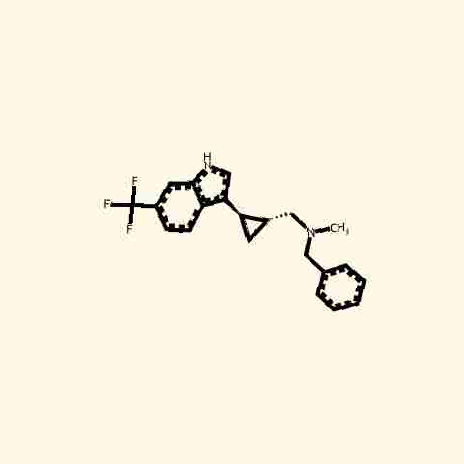 CN(Cc1ccccc1)C[C@@H]1C[C@H]1c1c[nH]c2cc(C(F)(F)F)ccc12